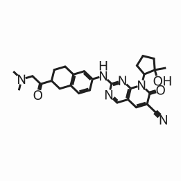 CN(C)CC(=O)C1CCc2cc(Nc3ncc4cc(C#N)c(=O)n(C5CCCC5(C)O)c4n3)ccc2C1